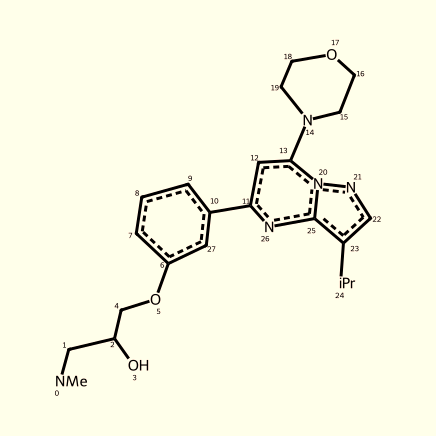 CNCC(O)COc1cccc(-c2cc(N3CCOCC3)n3ncc(C(C)C)c3n2)c1